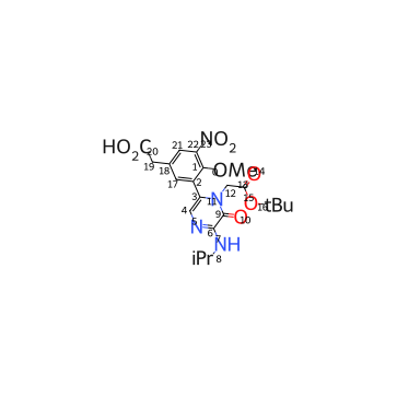 COc1c(-c2cnc(NC(C)C)c(=O)n2CC(=O)OC(C)(C)C)cc(CC(=O)O)cc1[N+](=O)[O-]